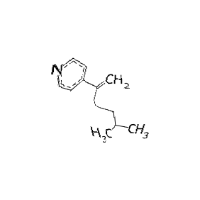 C=C(CCC(C)C)c1ccncc1